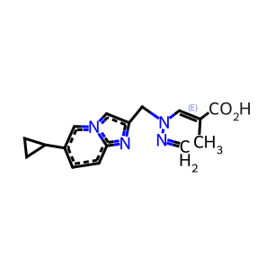 C=NN(/C=C(\C)C(=O)O)Cc1cn2cc(C3CC3)ccc2n1